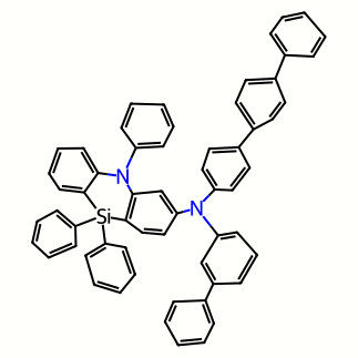 c1ccc(-c2ccc(-c3ccc(N(c4cccc(-c5ccccc5)c4)c4ccc5c(c4)N(c4ccccc4)c4ccccc4[Si]5(c4ccccc4)c4ccccc4)cc3)cc2)cc1